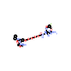 CN[C@H](C)C(=O)N[C@@H](C(=O)N1Cc2cc(OCCOCCOCCOCCOCCC(=O)NCCn3nc4c(c3C#N)-c3cnc(N)c(n3)O[C@H](C)c3cc(F)ccc3C(=O)N(C)C4)ccc2C[C@@H]1C(=O)N[C@H]1CCCc2ccccc21)C(C)(C)C